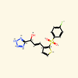 O=S(=O)(c1ccc(F)cc1)c1sccc1C=CC(O)c1nn[nH]n1